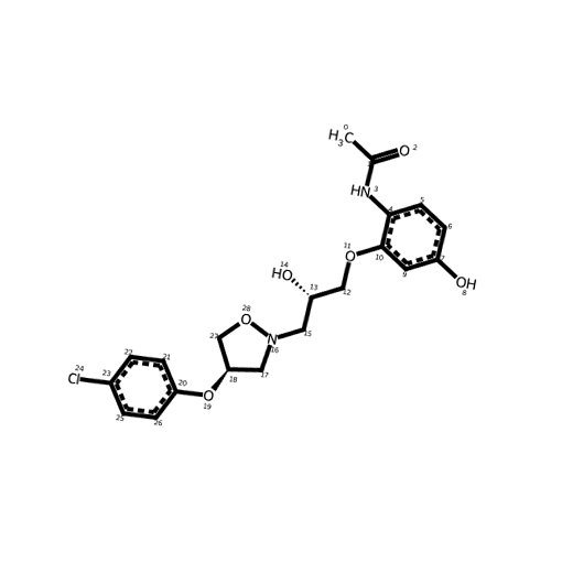 CC(=O)Nc1ccc(O)cc1OC[C@@H](O)CN1C[C@@H](Oc2ccc(Cl)cc2)CO1